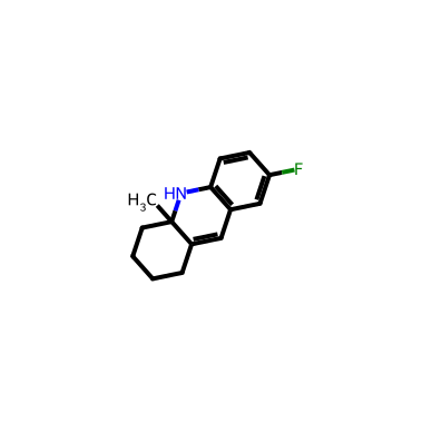 CC12CCCCC1=Cc1cc(F)ccc1N2